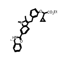 CCOC(=O)C(Oc1cccc(Cc2c(C)n(C)c3cc(C(=O)N[C@@H](C)c4ccccc4)ccc23)c1)C1CC1